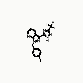 Fc1ccc(Cn2nc(-c3nc(C(F)(F)F)n[nH]3)c3cccnc32)cc1